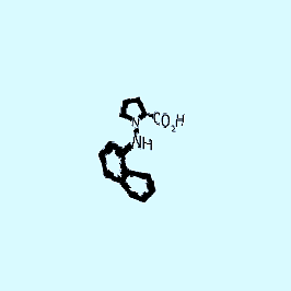 O=C(O)[C@@H]1CCCN1Nc1cccc2ccccc12